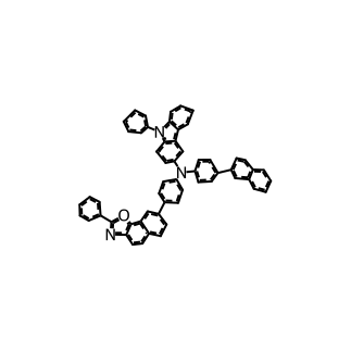 c1ccc(-c2nc3ccc4ccc(-c5ccc(N(c6ccc(-c7ccc8ccccc8c7)cc6)c6ccc7c(c6)c6ccccc6n7-c6ccccc6)cc5)cc4c3o2)cc1